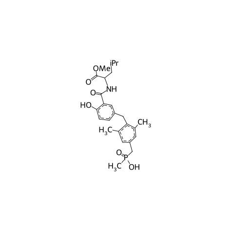 COC(=O)C(CC(C)C)NC(=O)c1cc(Cc2c(C)cc(CP(C)(=O)O)cc2C)ccc1O